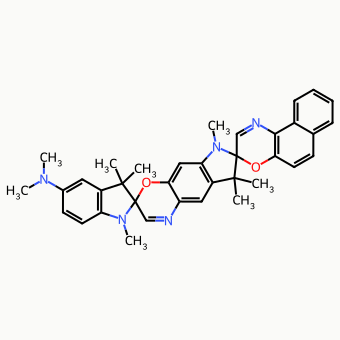 CN(C)c1ccc2c(c1)C(C)(C)C1(C=Nc3cc4c(cc3O1)N(C)C1(C=Nc3c(ccc5ccccc35)O1)C4(C)C)N2C